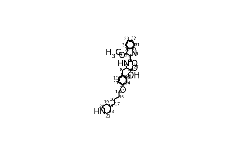 COC1C(C(=O)NC(Cc2ccc(OCCCCC3CCNCC3)cc2)C(=O)O)=Nc2ccccc21